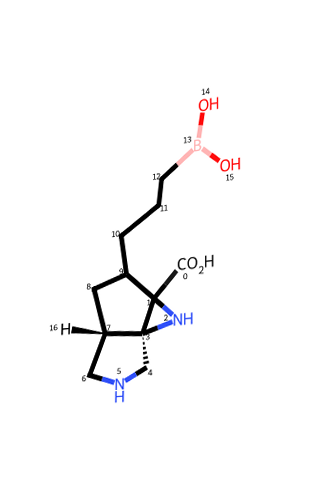 O=C(O)C12N[C@]13CNC[C@@H]3CC2CCCB(O)O